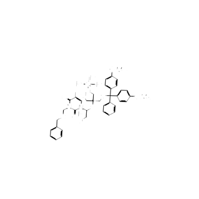 COc1ccc(C(OC[C@@](CO)(CO[Si](C(C)C)(C(C)C)C(C)C)OC(CO)n2ccc(=O)n(COCc3ccccc3)c2=O)(c2ccccc2)c2ccc(OC)cc2)cc1